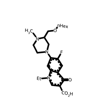 CCCCCCOCC1CN(c2cc3c(cc2F)c(=O)c(C(=O)O)cn3CC)CCN1C